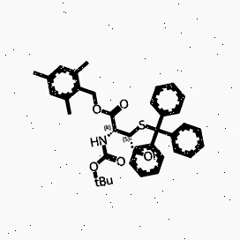 Cc1cc(C)c(COC(=O)[C@@H](NC(=O)OC(C)(C)C)[C@@H](CO)SC(c2ccccc2)(c2ccccc2)c2ccccc2)c(C)c1